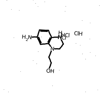 Cl.Cl.Cl.Nc1ccc2c(c1)N(CCO)CCN2